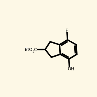 CCOC(=O)C1Cc2c(O)ccc(F)c2C1